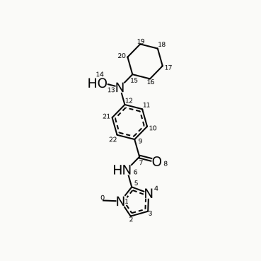 Cn1ccnc1NC(=O)c1ccc(N(O)C2CCCCC2)cc1